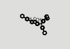 CC1(C)c2cc(-c3ccc(C4CCCCC4)cc3)ccc2-c2ccc(N(c3ccc(C4CCCCC4)cc3)c3ccc(C45CC6CC(CC(C6)C4)C5)cc3)cc21